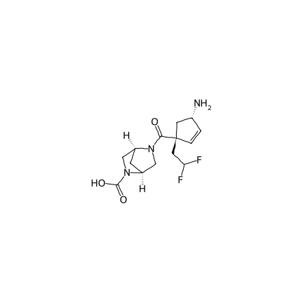 N[C@@H]1C=C[C@](CC(F)F)(C(=O)N2C[C@@H]3C[C@H]2CN3C(=O)O)C1